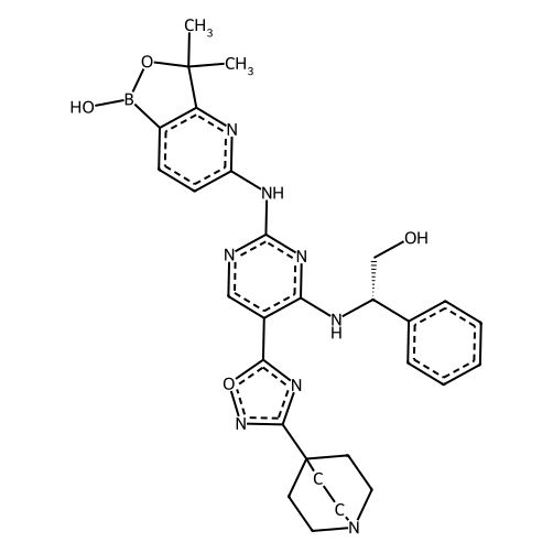 CC1(C)OB(O)c2ccc(Nc3ncc(-c4nc(C56CCN(CC5)CC6)no4)c(N[C@H](CO)c4ccccc4)n3)nc21